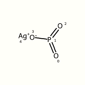 O=P(=O)[O-].[Ag+]